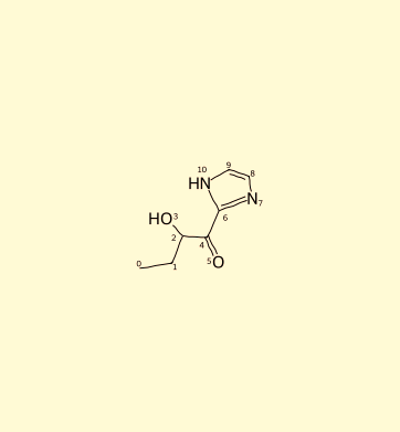 CCC(O)C(=O)c1ncc[nH]1